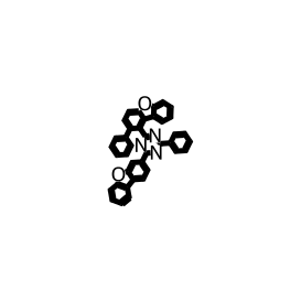 c1ccc2oc3cc(-c4nc(-c5ccccc5)nc(-c5c(-c6ccccc6)ccc6oc7ccccc7c56)n4)ccc3c2c#1